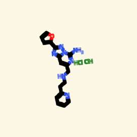 Cl.Cl.Nc1nc(CNCCc2ccccn2)cc2nc(-c3ccco3)nn12